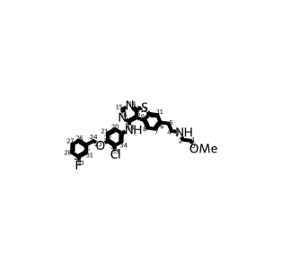 COCCNCCc1ccc2c(c1)sc1ncnc(Nc3ccc(OCc4cccc(F)c4)c(Cl)c3)c12